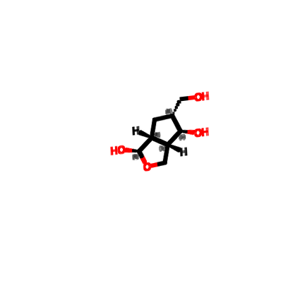 OC[C@H]1C[C@@H]2[C@@H](CO[C@H]2O)[C@@H]1O